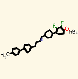 CCCCOc1ccc(C2CCC(/C=C/CCc3ccc(-c4ccc(C)cc4)cc3)CC2)c(F)c1F